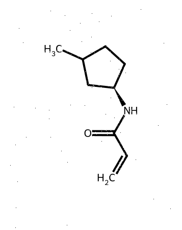 C=CC(=O)N[C@@H]1CCC(C)C1